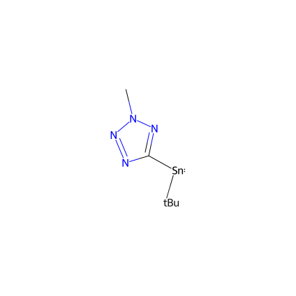 Cn1nn[c]([Sn][C](C)(C)C)n1